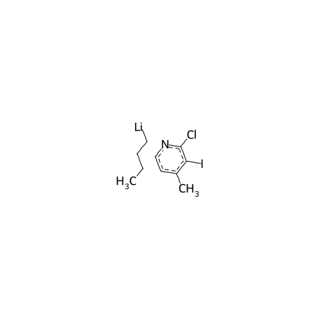 Cc1ccnc(Cl)c1I.[Li][CH2]CCC